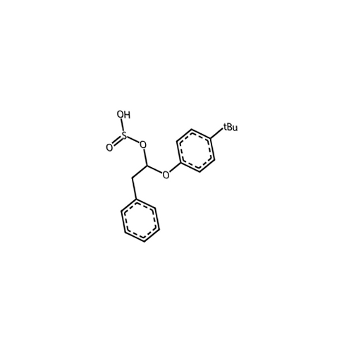 CC(C)(C)c1ccc(OC(Cc2ccccc2)OS(=O)O)cc1